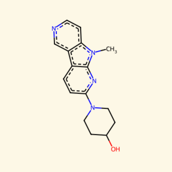 Cn1c2ccncc2c2ccc(N3CCC(O)CC3)nc21